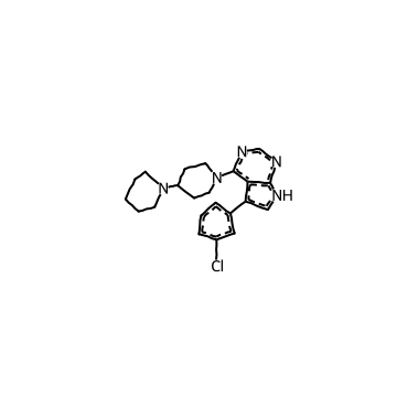 Clc1cccc(-c2c[nH]c3ncnc(N4CCC(N5CCCCC5)CC4)c23)c1